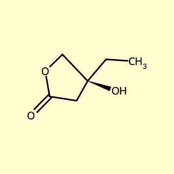 CC[C@@]1(O)COC(=O)C1